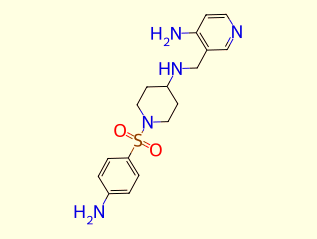 Nc1ccc(S(=O)(=O)N2CCC(NCc3cnccc3N)CC2)cc1